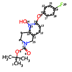 CC(C)(C)OC(=O)N1CCc2c(ccc(Oc3ccc(F)cc3)[n+]2O)C1